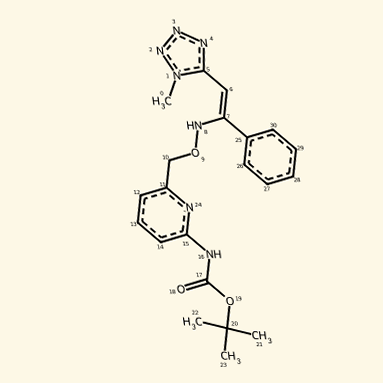 Cn1nnnc1C=C(NOCc1cccc(NC(=O)OC(C)(C)C)n1)c1ccccc1